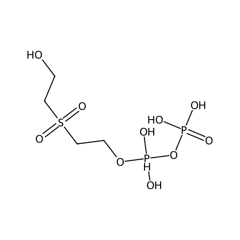 O=P(O)(O)O[PH](O)(O)OCCS(=O)(=O)CCO